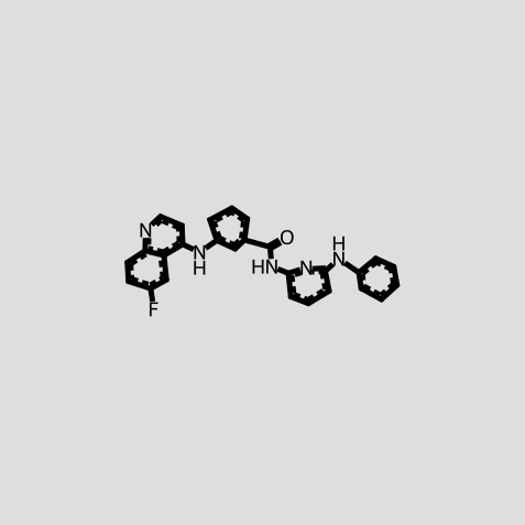 O=C(Nc1cccc(Nc2ccccc2)n1)c1cccc(Nc2ccnc3ccc(F)cc23)c1